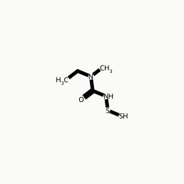 CCN(C)C(=O)NSS